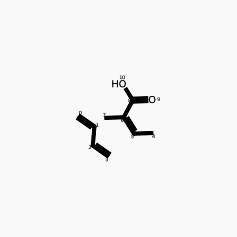 C=CC=C.CC=C(C)C(=O)O